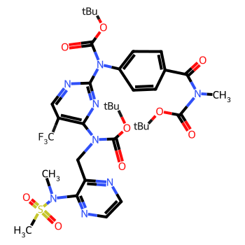 CN(C(=O)OC(C)(C)C)C(=O)c1ccc(N(C(=O)OC(C)(C)C)c2ncc(C(F)(F)F)c(N(Cc3nccnc3N(C)S(C)(=O)=O)C(=O)OC(C)(C)C)n2)cc1